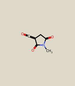 CN1C(=O)CC(=C=O)C1=O